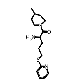 CC1CCN(C(=O)C(N)CCCSc2ccccn2)CC1